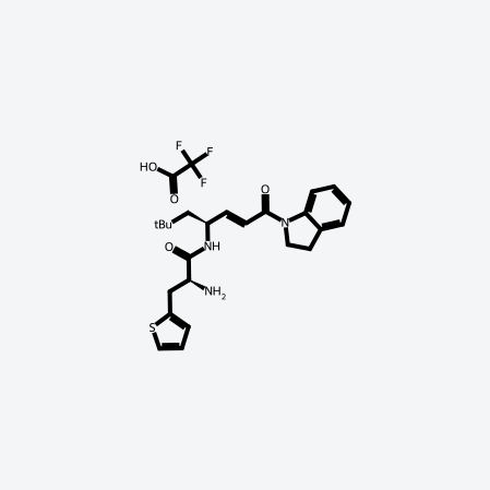 CC(C)(C)C[C@@H](/C=C/C(=O)N1CCc2ccccc21)NC(=O)[C@@H](N)Cc1cccs1.O=C(O)C(F)(F)F